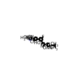 COc1ncc(-c2cc(F)cc(-c3ccc(N(C=O)/C=C\N(C)C)c(Cl)c3)c2O)cc1N1CCN(C(C)(C)C2CC2)CC1